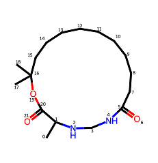 CC1NCNC(=O)CCCCCCCCCC(C)(C)OC1=O